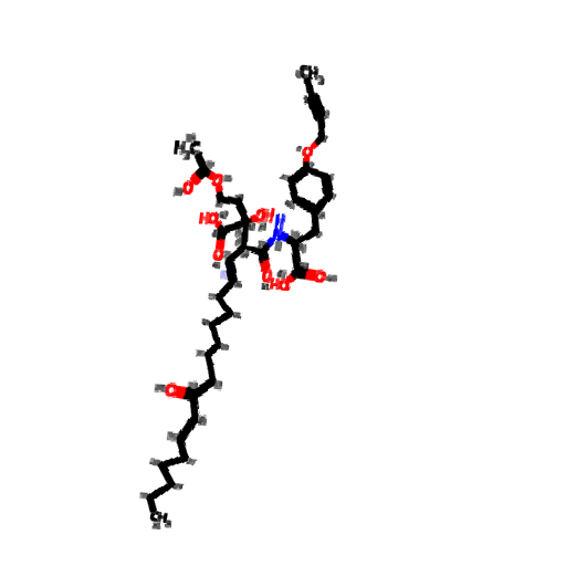 CC#CCOc1ccc(C[C@H](NC(=O)[C@@H](/C=C/CCCCCCC(=O)CCCCCCC)[C@@](O)(CCOC(C)=O)C(=O)O)C(=O)O)cc1